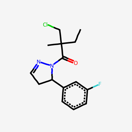 CCC(C)(CCl)C(=O)N1N=CCC1c1cccc(F)c1